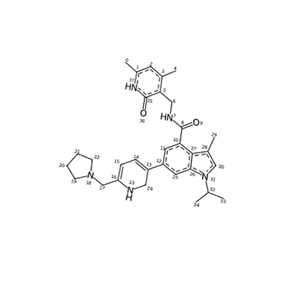 Cc1cc(C)c(CNC(=O)c2cc(C3=CC=C(CN4CCCC4)NC3)cc3c2c(C)cn3C(C)C)c(=O)[nH]1